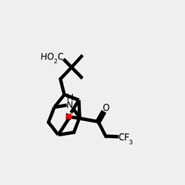 CC(C)(CC1C2CC3CC(N2)C1N(C(=O)CC(F)(F)F)C3)C(=O)O